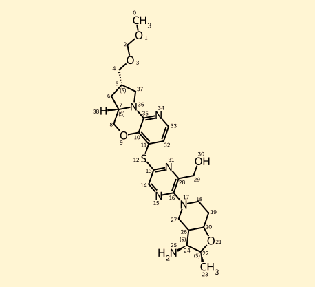 COCOC[C@H]1C[C@H]2COc3c(Sc4cnc(N5CCC6O[C@@H](C)[C@@H](N)C6C5)c(CO)n4)ccnc3N2C1